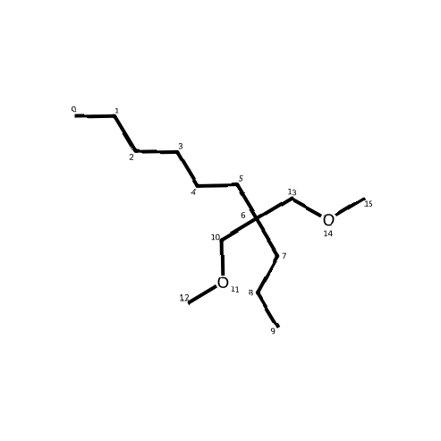 CCCCCCC(CCC)(COC)COC